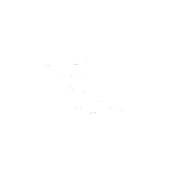 CCNC(=S)Nc1ccc2ncc(Nc3ccc(Br)cc3C(=O)OC)nc2n1